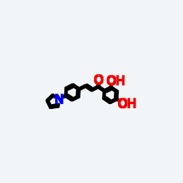 O=C(/C=C/c1ccc(N2C=CCC2)cc1)c1ccc(O)cc1O